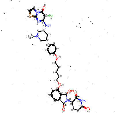 CN1C[C@H](Nc2nc3sccn3c(=O)c2Br)C[C@H](c2ccc(OCCCCCOc3cccc4c3C(O)N(C3CCC(=O)NC3=O)C4=O)cc2)C1